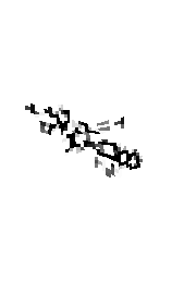 Cc1nc(N2CCC3(CC2)Cc2ccccc2[C@H]3N)n2c(CO)cnc2c1Sc1ccnc(N)c1Cl